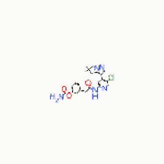 CC1(C)Cc2c(-c3cc(NC(=O)Cc4cccc(OC(N)=O)c4)ncc3Cl)cnn2C1